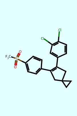 O=S(=O)(c1ccc(C2=C(c3ccc(Cl)c(Cl)c3)CC3(CC3)C2)cc1)C(F)(F)F